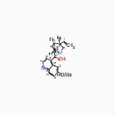 C=C[C@@H]1CN2CC[C@@H]1C[C@H]2C(O)c1ccnc2ccc(OC)cc12